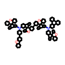 c1ccc2c(c1)Oc1ccccc1C21c2ccccc2-c2cc(N(c3ccc(-c4ccc5c(c4)oc4ccccc45)cc3)c3ccc4c(c3)C3(c5ccccc5Oc5ccc(-c6ccc7c(c6)C6(c8ccccc8O7)c7ccccc7-c7cc(N(c8ccc9c(c8)C8(c%10ccccc%10Oc%10ccccc%108)c8ccccc8-9)c8ccc9c%10ccccc%10c%10ccccc%10c9c8)ccc76)cc53)c3ccccc3-4)ccc21